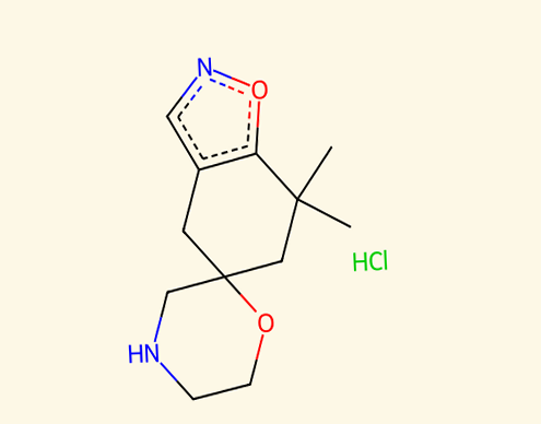 CC1(C)CC2(CNCCO2)Cc2cnoc21.Cl